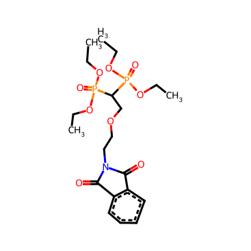 CCOP(=O)(OCC)C(COCCN1C(=O)c2ccccc2C1=O)P(=O)(OCC)OCC